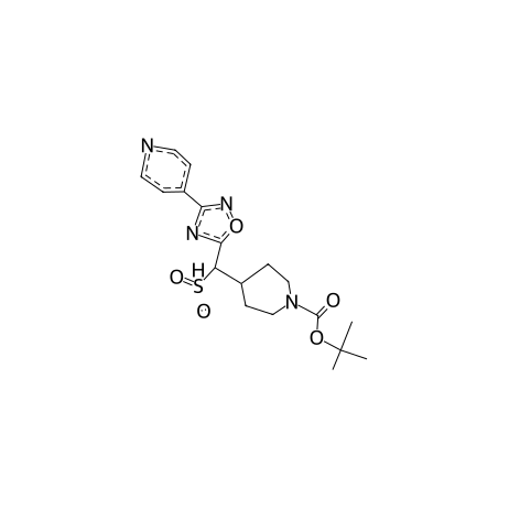 CC(C)(C)OC(=O)N1CCC(C(c2nc(-c3ccncc3)no2)[SH](=O)=O)CC1